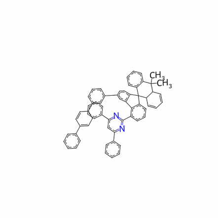 CC1(C)c2ccccc2C2(c3ccc(-c4cccc(C5C=CC(c6ccccc6)=CC5)c4)cc3-c3c(-c4nc(-c5ccccc5)cc(-c5ccccc5)n4)cccc32)C2C=CC=CC21